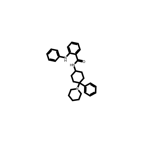 O=C(NC1CCC(c2ccccc2)(N2CCCCC2)CC1)c1ccccc1Nc1ccccc1